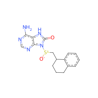 Nc1ncnc2c1[nH]c(=O)n2[S+]([O-])CC1CCCc2ccccc21